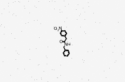 O=C(Cc1ccc([N+](=O)[O-])cc1)NCc1ccccc1